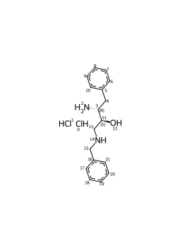 Cl.Cl.N[C@H](Cc1ccccc1)[C@@H](O)CNCc1ccccc1